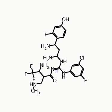 CNCC(C(=O)/N=C(\Nc1cc(F)cc(Cl)c1)NC(N)CC(N)c1ccc(O)cc1F)C(N)C(F)(F)F